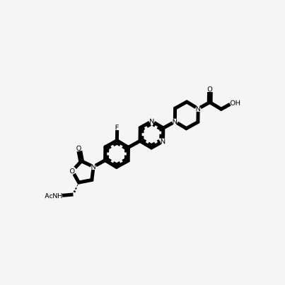 CC(=O)NC[C@H]1CN(c2ccc(-c3cnc(N4CCN(C(=O)CO)CC4)nc3)c(F)c2)C(=O)O1